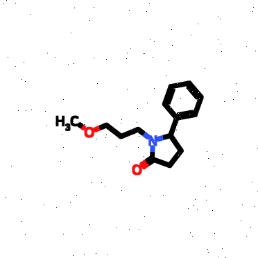 COCCCN1C(=O)CCC1c1ccccc1